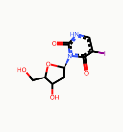 O=c1[nH]cc(I)c(=O)n1[C@H]1CC(O)[C@@H](CO)O1